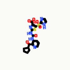 O=C(Nc1nc(C(=O)O)c(S(=O)(=O)c2ncc[nH]2)s1)Nc1cccnc1C(=O)C1CCCC1